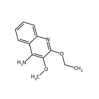 CCOc1nc2ccccc2c(N)c1OC